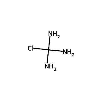 NC(N)(N)Cl